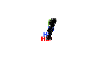 Cn1c(-c2ccc(-c3ccccc3)c(C(F)(F)F)c2)nc2ccc(CNCCC(=O)O)cc21